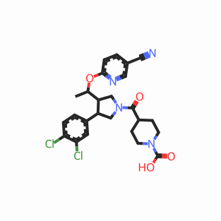 CC(Oc1ccc(C#N)cn1)C1CN(C(=O)C2CCN(C(=O)O)CC2)CC1c1ccc(Cl)c(Cl)c1